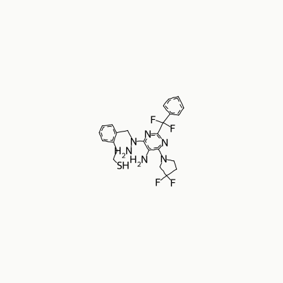 Nc1c(N(N)Cc2ccccc2CCS)nc(C(F)(F)c2ccccc2)nc1N1CCC(F)(F)C1